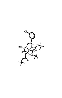 CC(C)(C)OC(=O)N[C@]1(C(=O)OC(C)(C)C)[C@@H]2[C@@H](C(=O)OC(C)(C)C)[C@@H]2[C@H](O)[C@H]1CSc1cccc(Cl)c1